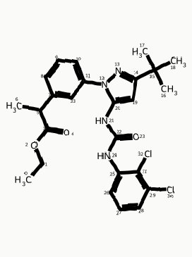 CCOC(=O)C(C)c1cccc(-n2nc(C(C)(C)C)cc2NC(=O)Nc2cccc(Cl)c2Cl)c1